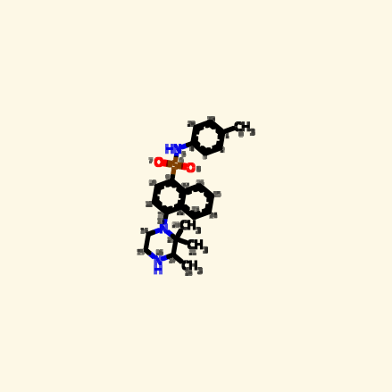 Cc1ccc(NS(=O)(=O)c2ccc(N3CCNC(C)C3(C)C)c3ccccc23)cc1